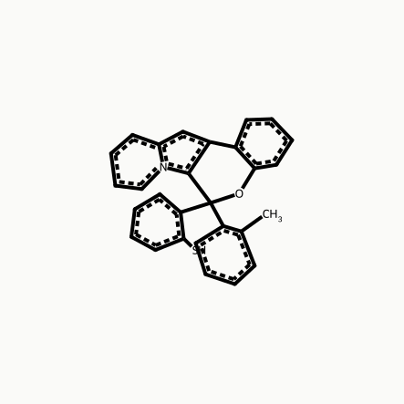 Cc1ccccc1C1(c2ccccc2S)Oc2ccccc2-c2cc3ccccn3c21